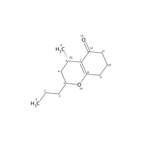 CCCC1C[C@H](C)C2=C(CCCC2=O)O1